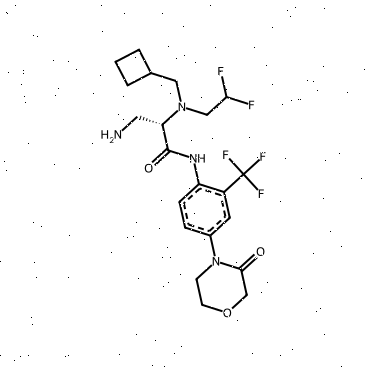 NC[C@@H](C(=O)Nc1ccc(N2CCOCC2=O)cc1C(F)(F)F)N(CC(F)F)CC1CCC1